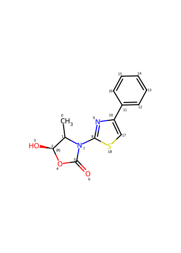 CC1[C@H](O)OC(=O)N1c1nc(-c2ccccc2)cs1